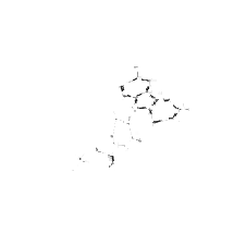 CC(C)(C)OC(=O)N1CCC(n2c3ccc(F)cc3c3cc(F)ccc32)C(O)C1